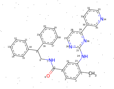 Cc1ccc(C(=O)NCC(c2ccccc2)c2ccccc2)cc1Nc1nccc(-c2cccnc2)n1